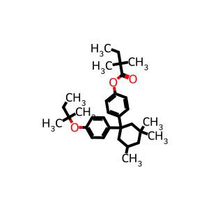 CCC(C)(C)Oc1ccc(C2(c3ccc(OC(=O)C(C)(C)CC)cc3)CC(C)CC(C)(C)C2)cc1